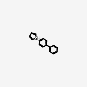 C1=C[SH](c2ccc(-c3ccccc3)cc2)C=C1